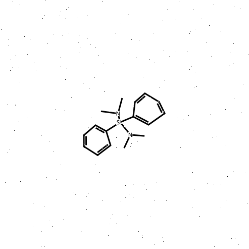 CN(C)[Si](c1ccccc1)(c1ccccc1)N(C)C